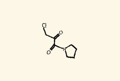 O=C(CCl)C(=O)N1CCCC1